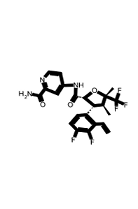 C=Cc1c([C@@H]2[C@H](C(=O)Nc3ccnc(C(N)=O)c3)O[C@](C)(C(F)(F)F)[C@H]2C)ccc(F)c1F